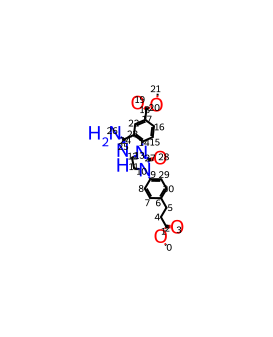 COC(=O)CCc1ccc(N2CCN(c3ccc(C(=O)OC)cc3C(=N)N)C2=O)cc1